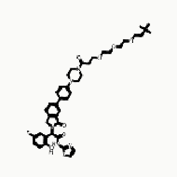 CC(C)(C)CCOCCOCCOCCC(=O)N1CCN(c2ccc(-c3ccc4c(c3)C(=O)N(C(C(=O)Nc3nccs3)c3cc(F)ccc3O)C4)cc2)CC1